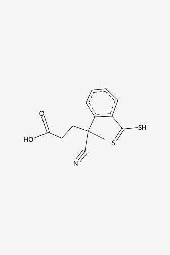 CC(C#N)(CCC(=O)O)c1ccccc1C(=S)S